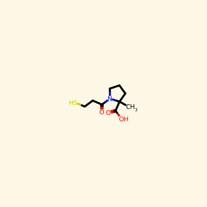 CC1(C(=O)O)CCCN1C(=O)CCS